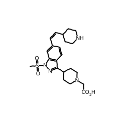 CS(=O)(=O)n1nc(C2CCN(CC(=O)O)CC2)c2ccc(/C=C\C3CCNCC3)cc21